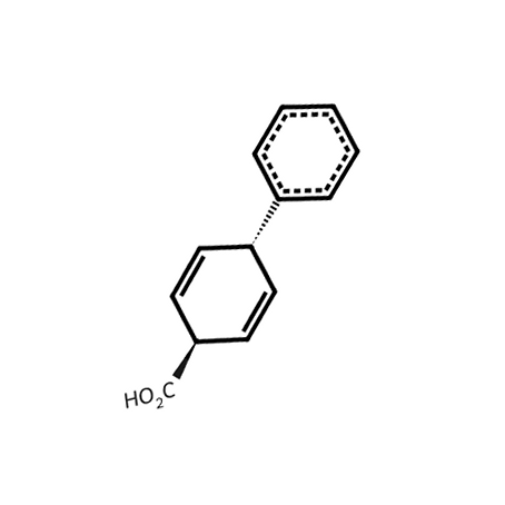 O=C(O)[C@H]1C=C[C@H](c2ccccc2)C=C1